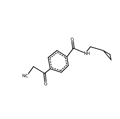 N#CCC(=O)c1ccc(C(=O)NCC2CC2)cc1